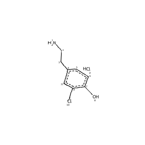 Cl.NCCc1ccc(O)c(Cl)c1